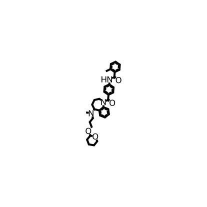 Cc1ccccc1C(=O)Nc1ccc(C(=O)N2CCCC(N(C)CCCOC3CCCCO3)c3ccccc32)cc1